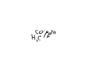 C.[Co].[Fe].[Ni]